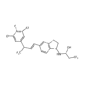 OC(CC(F)(F)F)NC1CCc2cc(/C=C/C(c3cc(Cl)c(F)c(Cl)c3)C(F)(F)F)ccc21